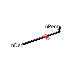 CCCCC/C=C\C/C=C\CCCCCCCC(=O)OCCCCCCCCCCCCCCCCCCCCCCCCCC